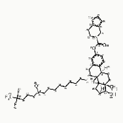 C[C@]12CC[C@@H]3c4ccc(OC(=O)N5CCc6sccc6C5)cc4C[C@@H](CCCCCCCCC[S+]([O-])CCCC(F)(F)C(F)(F)F)[C@H]3[C@@H]1CC[C@@H]2O